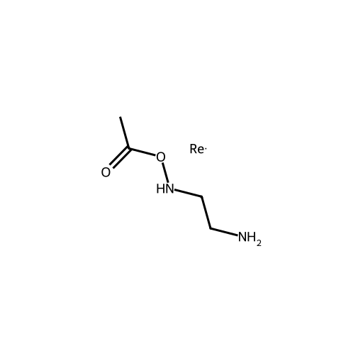 CC(=O)ONCCN.[Re]